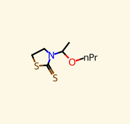 CCCOC(C)N1CCSC1=S